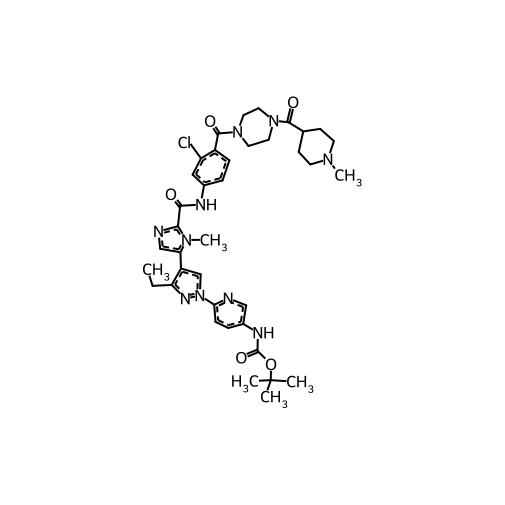 CCc1nn(-c2ccc(NC(=O)OC(C)(C)C)cn2)cc1-c1cnc(C(=O)Nc2ccc(C(=O)N3CCN(C(=O)C4CCN(C)CC4)CC3)c(Cl)c2)n1C